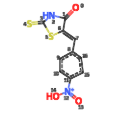 O=C1NC(=S)S/C1=C\c1ccc([N+](=O)O)cc1